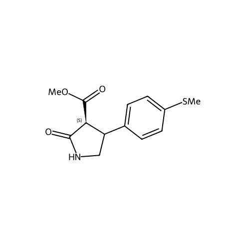 COC(=O)[C@@H]1C(=O)NCC1c1ccc(SC)cc1